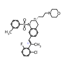 C/C(=C\c1ccc2c(c1)N(S(=O)(=O)c1cccc(C)c1)C[C@H](CCCN1CCOCC1)C2)c1c(F)cccc1Cl